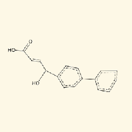 O=C(O)C=CC(O)c1ccc(-c2ccccc2)cc1